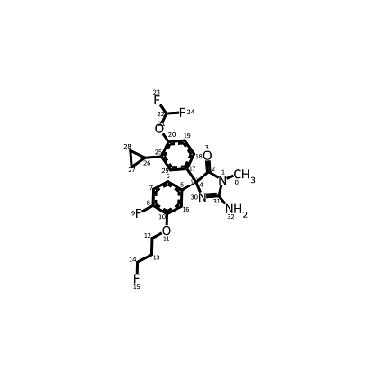 CN1C(=O)[C@@](c2ccc(F)c(OCCCF)c2)(c2ccc(OC(F)F)c(C3CC3)c2)N=C1N